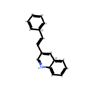 C(=Cc1cnc2ccccc2c1)c1ccccc1